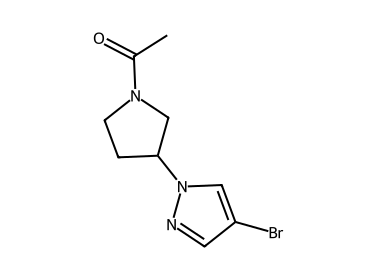 CC(=O)N1CCC(n2cc(Br)cn2)C1